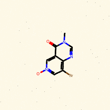 Cn1cnc2c(Br)c[n+]([O-])cc2c1=O